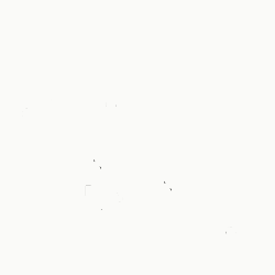 COCCC/N=C1\CCc2c(Oc3cc(F)cc(Cl)c3)cnc(SC(F)(F)F)c21